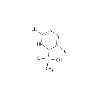 CC(C)(C)C1NC(Cl)=NC=C1Cl